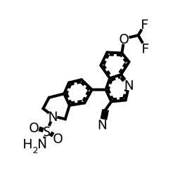 N#Cc1cnc2cc(OC(F)F)ccc2c1-c1ccc2c(c1)CN(S(N)(=O)=O)CC2